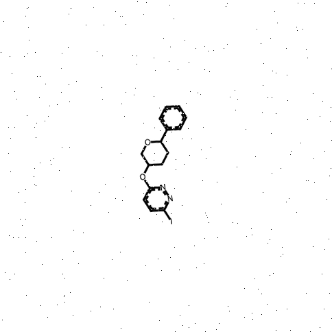 Ic1ccc(OC2CCC(c3ccccc3)OC2)nn1